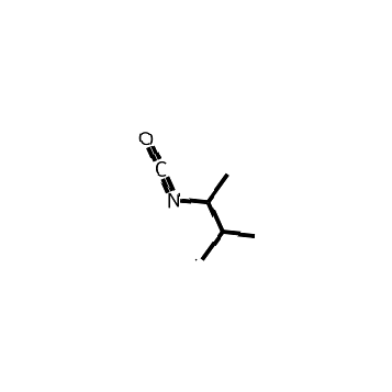 [CH2]C(C)C(C)N=C=O